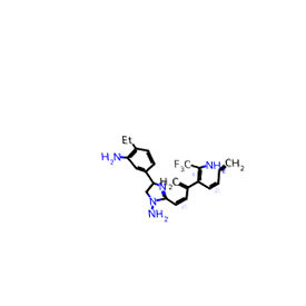 C=C/C=C\C(C(=C)/C=C\C1=NC(c2ccc(CC)c(N)c2)CN1N)=C(/N)C(F)(F)F